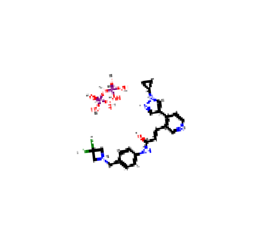 O=C(C=Cc1cnccc1-c1cnn(C2CC2)c1)Nc1ccc(CN2CC(F)(F)C2)cc1.O=P(O)(O)OP(=O)(O)O